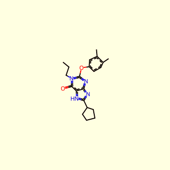 CCCn1c(Oc2ccc(C)c(C)c2)nc2nc(C3CCCC3)[nH]c2c1=O